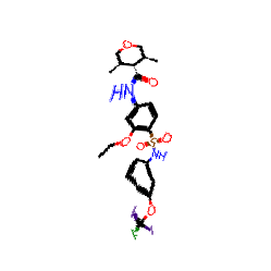 CCOc1cc(NC(=O)[C@H]2[C@H](C)COC[C@@H]2C)ccc1S(=O)(=O)Nc1cccc(OC(F)(I)I)c1